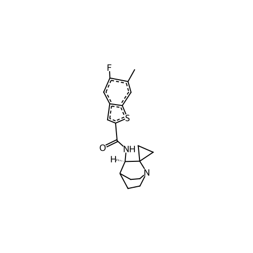 Cc1cc2sc(C(=O)N[C@@H]3C4CCN(CC4)C34CC4)cc2cc1F